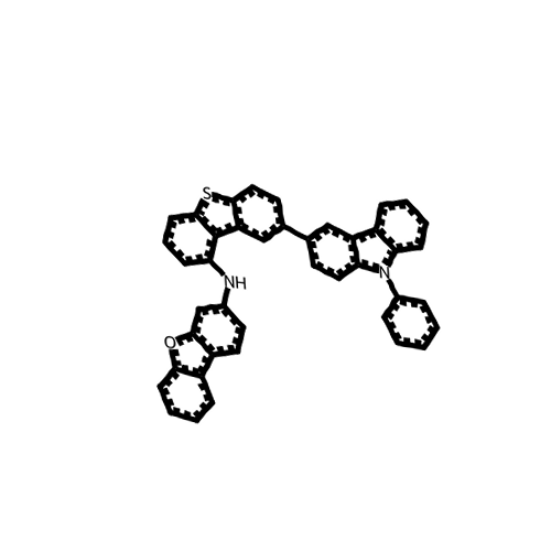 c1ccc(-n2c3ccccc3c3cc(-c4ccc5sc6cccc(Nc7ccc8c(c7)oc7ccccc78)c6c5c4)ccc32)cc1